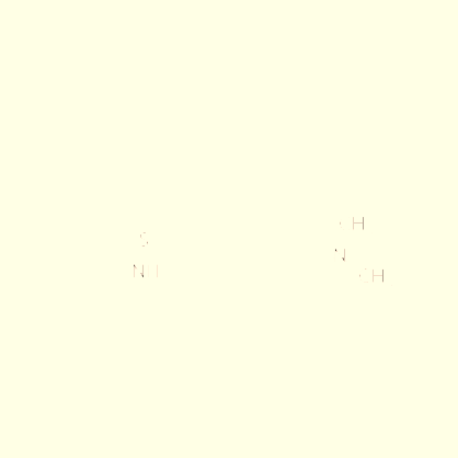 CN(C)CCCCCCS1=c2ccccc2=CCN1